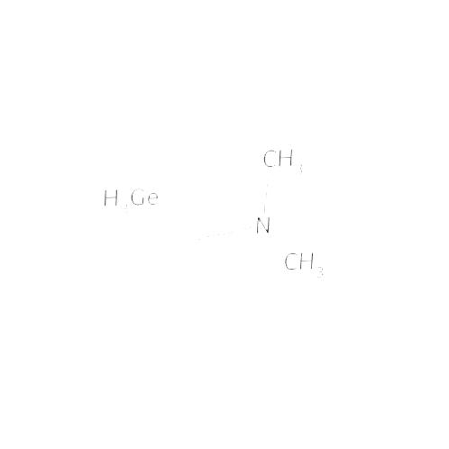 CN(C)[CH2][GeH3]